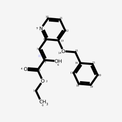 CCOC(=O)/C(O)=C/c1ncccc1OCc1ccccc1